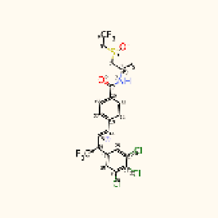 C[C@H](C[S+]([O-])CC(F)(F)F)NC(=O)c1ccc(/C=C/C(c2cc(Cl)c(Cl)c(Cl)c2)C(F)(F)F)cc1